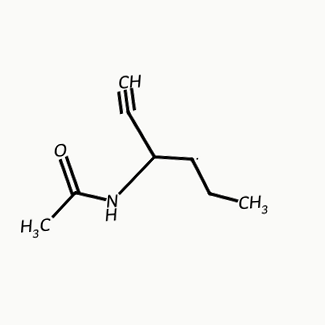 C#CC([CH]CC)NC(C)=O